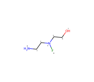 NCCN(F)CCO